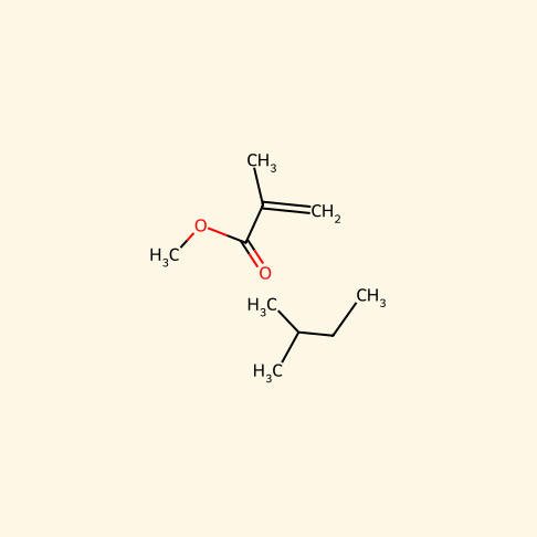 C=C(C)C(=O)OC.CCC(C)C